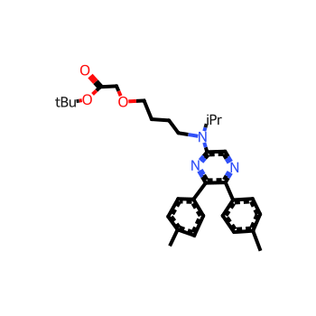 Cc1ccc(-c2ncc(N(CCCCOCC(=O)OC(C)(C)C)C(C)C)nc2-c2ccc(C)cc2)cc1